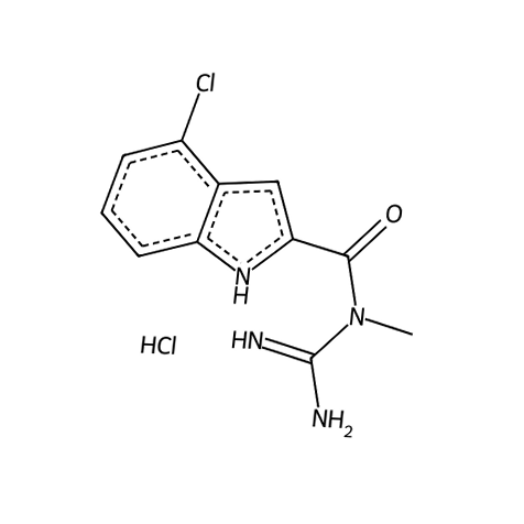 CN(C(=N)N)C(=O)c1cc2c(Cl)cccc2[nH]1.Cl